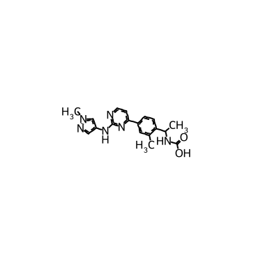 Cc1cc(-c2ccnc(Nc3cnn(C)c3)n2)ccc1C(C)NC(=O)O